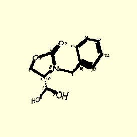 O=C1OC[C@@H](C(O)O)N1Cc1ccccc1